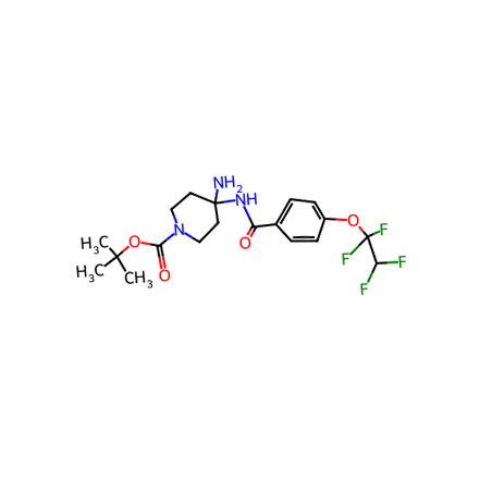 CC(C)(C)OC(=O)N1CCC(N)(NC(=O)c2ccc(OC(F)(F)C(F)F)cc2)CC1